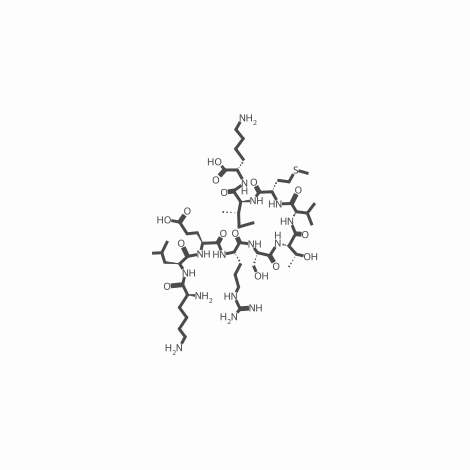 CC[C@H](C)[C@H](NC(=O)[C@H](CCSC)NC(=O)[C@@H](NC(=O)[C@@H](NC(=O)[C@H](CO)NC(=O)[C@H](CCCNC(=N)N)NC(=O)[C@H](CCC(=O)O)NC(=O)[C@H](CC(C)C)NC(=O)[C@@H](N)CCCCN)[C@@H](C)O)C(C)C)C(=O)N[C@@H](CCCCN)C(=O)O